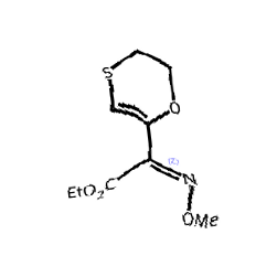 CCOC(=O)/C(=N\OC)C1=CSCCO1